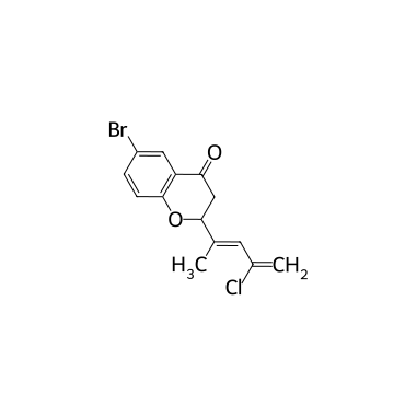 C=C(Cl)/C=C(\C)C1CC(=O)c2cc(Br)ccc2O1